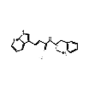 Cl.NC[C@@H](Cc1ccccc1)NC(=O)C=Cc1c[nH]c2ncccc12